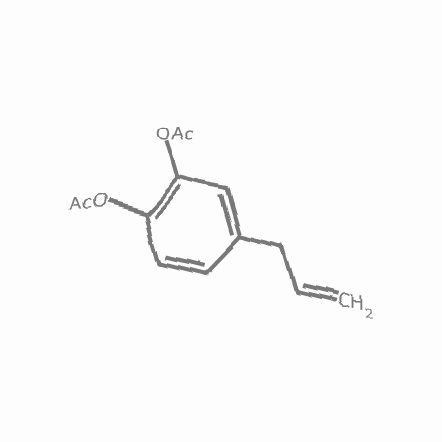 C=CCc1ccc(OC(C)=O)c(OC(C)=O)c1